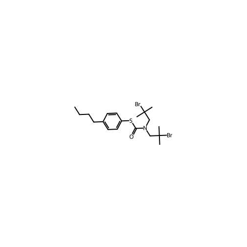 CCCCc1ccc(SC(=O)N(CC(C)(C)Br)CC(C)(C)Br)cc1